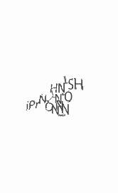 C=C(S)NC(=O)N(C(C)C(=O)N(C)C(C)C)n1nccn1